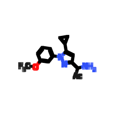 CC(=O)C(N)c1cc(C2CC2)n(-c2cccc(OC(F)(F)F)c2)n1